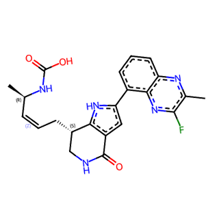 Cc1nc2cccc(-c3cc4c([nH]3)[C@@H](C/C=C\[C@@H](C)NC(=O)O)CNC4=O)c2nc1F